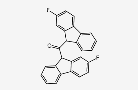 O=C(C1c2ccccc2-c2ccc(F)cc21)C1c2ccccc2-c2ccc(F)cc21